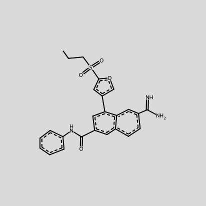 CCCS(=O)(=O)c1cc(-c2cc(C(=O)Nc3ccccc3)cc3ccc(C(=N)N)cc23)co1